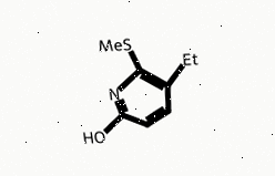 CCc1ccc(O)nc1SC